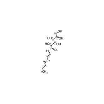 CCCSSCCNC(=O)[C@H](O)[C@@H](O)[C@H](O)[C@H](O)CO